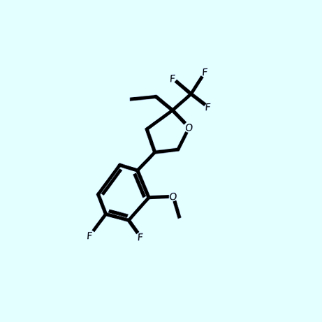 CCC1(C(F)(F)F)CC(c2ccc(F)c(F)c2OC)CO1